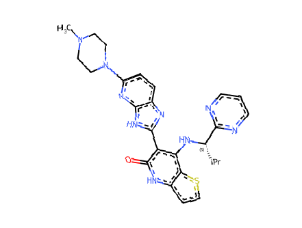 CC(C)[C@H](Nc1c(-c2nc3ccc(N4CCN(C)CC4)nc3[nH]2)c(=O)[nH]c2ccsc12)c1ncccn1